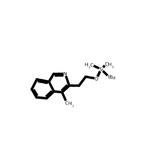 Cc1c(CCO[Si](C)(C)C(C)(C)C)ncc2ccccc12